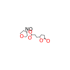 O=NC1(OC(=O)CCC2CCC(=O)O2)CCOCC1